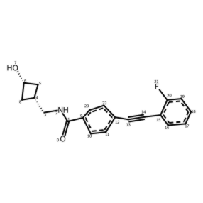 O=C(NC[C@H]1C[C@@H](O)C1)c1ccc(C#Cc2ccccc2F)cc1